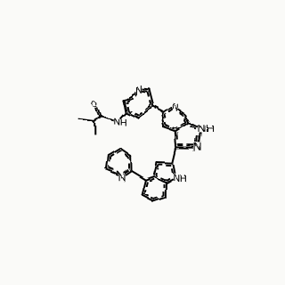 CC(C)C(=O)Nc1cncc(-c2cc3c(-c4cc5c(-c6ccccn6)cccc5[nH]4)n[nH]c3cn2)c1